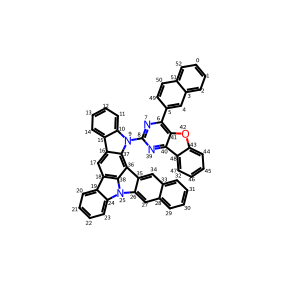 c1ccc2cc(-c3nc(-n4c5ccccc5c5cc6c7ccccc7n7c8cc9ccccc9cc8c(c54)c67)nc4c3oc3ccccc34)ccc2c1